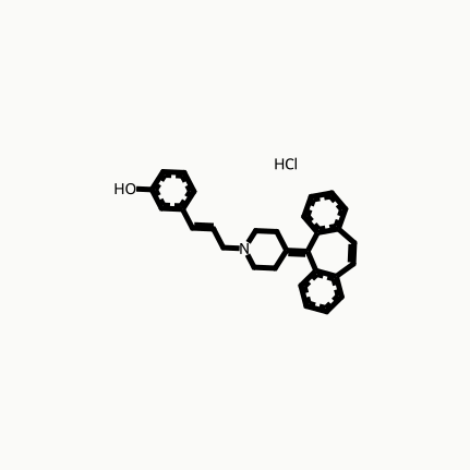 Cl.Oc1cccc(C=CCN2CCC(=C3c4ccccc4C=Cc4ccccc43)CC2)c1